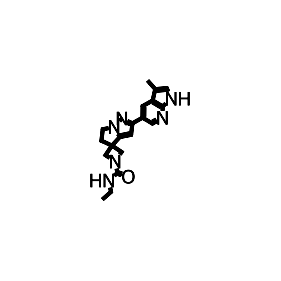 CCNC(=O)N1CC2(CCn3nc(-c4cnc5[nH]cc(C)c5c4)cc32)C1